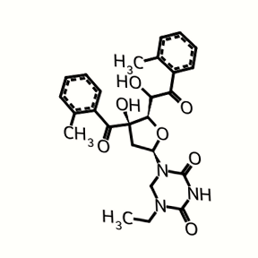 CCN1CN([C@H]2C[C@](O)(C(=O)c3ccccc3C)[C@@H](C(O)C(=O)c3ccccc3C)O2)C(=O)NC1=O